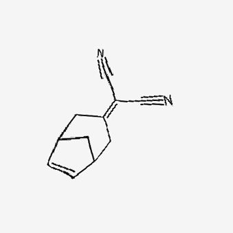 N#CC(C#N)=C1CC2C=CC(C1)C2